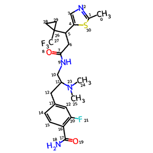 Cc1ncc(C(CC(=O)NCC(Cc2ccc(C(N)=O)c(F)c2)N(C)C)C2(C(F)(F)F)CC2)s1